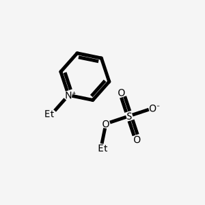 CCOS(=O)(=O)[O-].CC[n+]1ccccc1